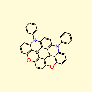 c1ccc(N2c3cccc4c3B3c5c(ccc6c5B5c7c(cccc7N(c7ccccc7)c7ccc2c3c75)O6)O4)cc1